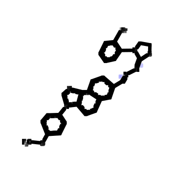 CC(C)c1ccccc1N1CCS/C1=N/N=C/c1ccc2c(ccc3c2ncn3-c2ccc(OC(F)(F)F)cc2)c1